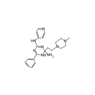 CN1CCN(CCC2(N)N=C(Nc3ccncc3)N=C(c3ccccc3)N2)CC1